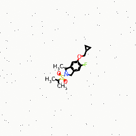 CC(C)S(=O)(=O)N1Cc2cc(F)c(OCC3CC3)cc2[C@H]1C